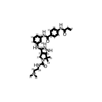 C=CC(=O)Nc1ccc(C(=O)Nc2cccc(NC3NNC4=C3CN(C(=O)NCCN(C)C)C4(C)C)c2)cc1